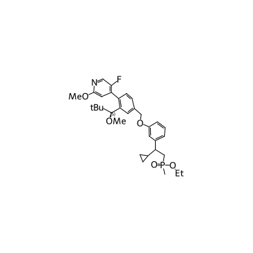 CCOP(C)(=O)CC(c1cccc(OCc2ccc(-c3cc(OC)ncc3F)c([C@@H](OC)C(C)(C)C)c2)c1)C1CC1